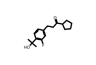 CC(C)(O)c1ccc(CCC(=O)C2CCCC2)cc1F